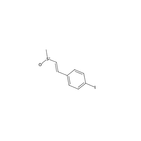 C[S+]([O-])C=Cc1ccc(I)cc1